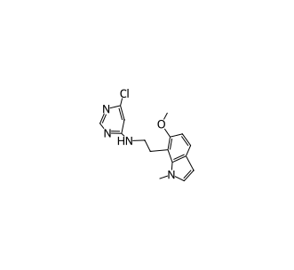 COc1ccc2ccn(C)c2c1CCNc1cc(Cl)ncn1